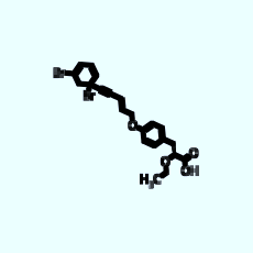 CCO[C@@H](Cc1ccc(OC/C=C/C#CC2(Br)C=CC=C(Br)C2)cc1)C(=O)O